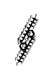 FC(F)(F)C(F)(F)C(F)(F)C(F)(F)C(F)(F)C(F)(F)[C](F)(C(F)(F)F)[Sn]([c]1ccccc1)([c]1ccccc1)[C](F)(C(F)(F)F)C(F)(F)C(F)(F)C(F)(F)C(F)(F)C(F)(F)C(F)(F)F